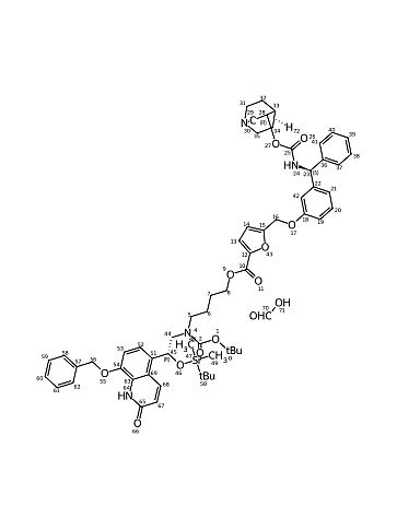 CC(C)(C)OC(=O)N(CCCCOC(=O)c1ccc(COc2cccc([C@@H](NC(=O)O[C@H]3CN4CCC3CC4)c3ccccc3)c2)o1)C[C@H](O[Si](C)(C)C(C)(C)C)c1ccc(OCc2ccccc2)c2[nH]c(=O)ccc12.O=CO